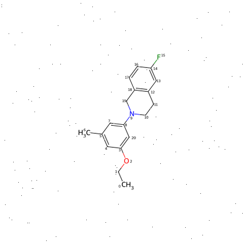 CCOc1cc(C)cc(N2CCc3cc(F)ccc3C2)c1